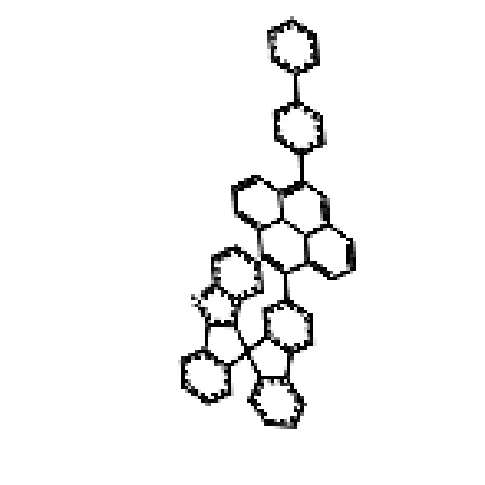 C1=CC2=CC(c3ccc(-c4ccccc4)cc3)=C3C=CC=C4C=C(c5ccc6c(c5)C5(c7ccccc7-6)c6ccccc6-c6sc7ccccc7c65)C(=C1)C2C43